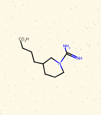 N=C(N)N1CCCC(CCCC(=O)O)C1